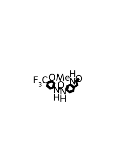 COc1cc(NC(=O)Nc2ccc3c(c2)NC(=O)C3)ccc1C(F)(F)F